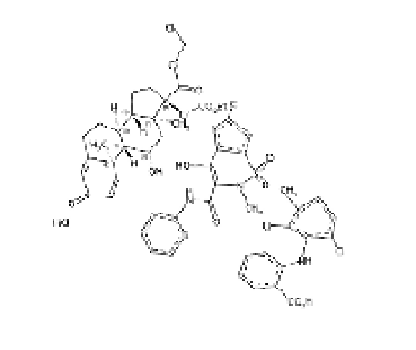 CCOC(=O)O[C@]1(C(=O)OCCl)CC[C@H]2[C@@H]3CCC4=CC(=O)C=C[C@]4(C)[C@H]3[C@@H](O)C[C@@]21C.CN1C(C(=O)Nc2ccccn2)=C(O)c2sc(Cl)cc2S1(=O)=O.Cc1ccc(Cl)c(Nc2ccccc2C(=O)O)c1Cl.Cl